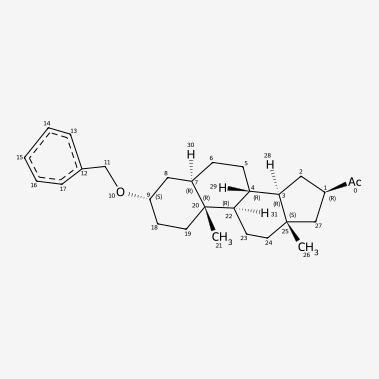 CC(=O)[C@@H]1C[C@@H]2[C@H]3CC[C@@H]4C[C@@H](OCc5ccccc5)CC[C@@]4(C)[C@@H]3CC[C@@]2(C)C1